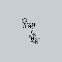 Cc1ncc(C)n2nc(C=Cc3nc(-n4ccccc4=O)cn3C)nc12